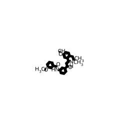 COc1cccc(C(=O)Nc2cccc(C(=O)C=C3NC(C)(C)Cc4ccc(OC)cc43)c2)c1